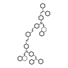 C(=C(c1ccccc1)c1ccccc1)c1ccc(N(/C=C2/CCc3ccccc3C2)c2ccc(/C=C/c3cccc(/C=C/c4ccc(N(/C=C5\CCCc6ccccc65)c5ccc(C=C(c6ccccc6)c6ccccc6)cc5)cc4)c3)cc2)cc1